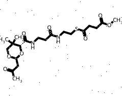 COC(=O)CCC(=O)SCCNC(=O)CCNC(=O)[C@@H]1OC(CC(C)=O)OCC1(C)C